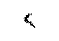 CCCCCCCC(=O)NCC(=O)NCCCC(=O)OC1C(=O)OCc2c1cc1n(c2=O)Cc2c-1nc1ccc(O)cc1c2CC